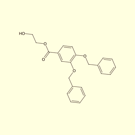 O=C(OCCO)c1ccc(OCc2ccccc2)c(OCc2ccccc2)c1